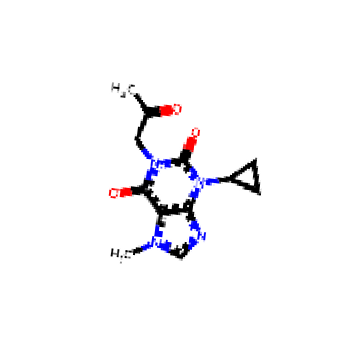 CC(=O)Cn1c(=O)c2c(ncn2C)n(C2CC2)c1=O